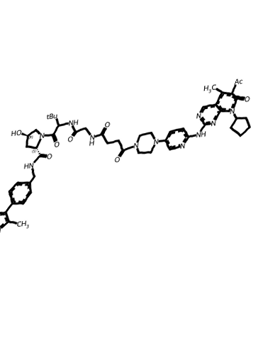 CC(=O)c1c(C)c2cnc(Nc3ccc(N4CCN(C(=O)CCC(=O)NCC(=O)NC(C(=O)N5C[C@H](O)C[C@H]5C(=O)NCc5ccc(-c6scnc6C)cc5)C(C)(C)C)CC4)cn3)nc2n(C2CCCC2)c1=O